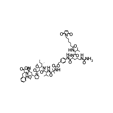 CC[C@H](C)[C@@H]([C@@H](CC(=O)N1CCC[C@H]1[C@H](OC)[C@@H](C)C(=O)N[C@@H](Cc1ccccc1)C(=O)O)OC)N(C)C(=O)[C@@H](NC(=O)C(C)(C)NC(=O)OCc1ccc(NC(=O)[C@H](CCCNC(N)=O)NC(=O)[C@@H](NC(=O)CCCCCN2C(=O)C=CC2=O)C(C)C)cc1)C(C)C